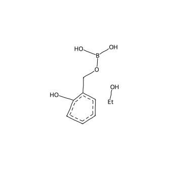 CCO.OB(O)OCc1ccccc1O